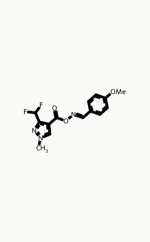 COc1ccc(/C=N/OC(=O)c2cn(C)nc2C(F)F)cc1